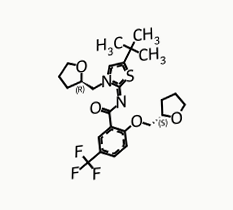 CC(C)(C)c1cn(C[C@H]2CCCO2)c(=NC(=O)c2cc(C(F)(F)F)ccc2OC[C@@H]2CCCO2)s1